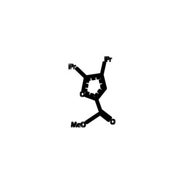 COC(=O)c1cc(C(C)C)c(C(C)C)o1